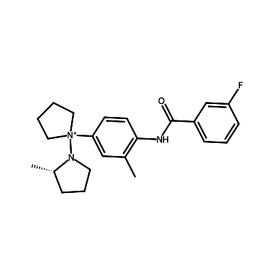 Cc1cc([N+]2(N3CCC[C@@H]3C)CCCC2)ccc1NC(=O)c1cccc(F)c1